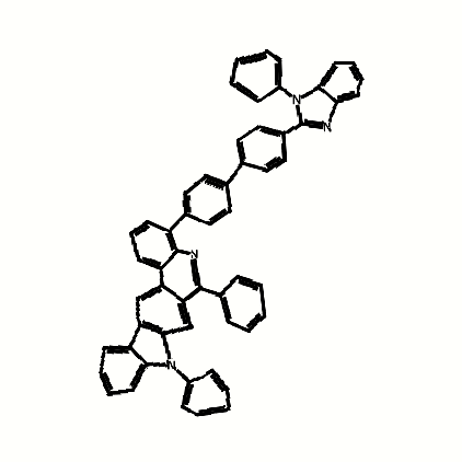 c1ccc(-c2nc3c(-c4ccc(-c5ccc(-c6nc7ccccc7n6-c6ccccc6)cc5)cc4)cccc3c3cc4c5ccccc5n(-c5ccccc5)c4cc23)cc1